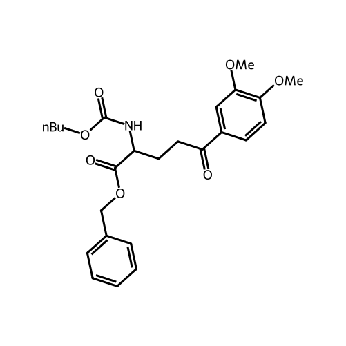 CCCCOC(=O)NC(CCC(=O)c1ccc(OC)c(OC)c1)C(=O)OCc1ccccc1